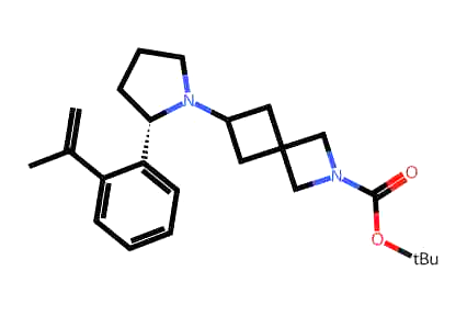 C=C(C)c1ccccc1[C@@H]1CCCN1C1CC2(C1)CN(C(=O)OC(C)(C)C)C2